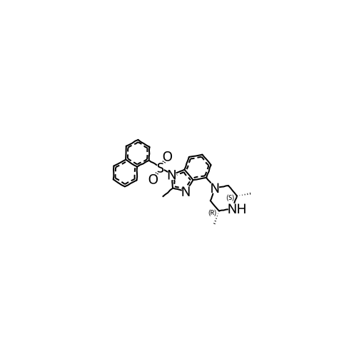 Cc1nc2c(N3C[C@@H](C)N[C@@H](C)C3)cccc2n1S(=O)(=O)c1cccc2ccccc12